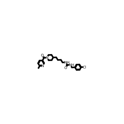 Cc1ccc(C(=O)N2CCC(CCCCNC(=O)NCc3ccc(Cl)cc3)CC2)cn1